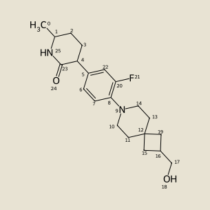 CC1CCC(c2ccc(N3CCC4(CC3)CC(CO)C4)c(F)c2)C(=O)N1